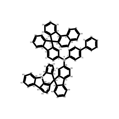 c1ccc(-c2ccc(N(c3ccc4c(c3)C3(c5ccccc5-4)c4ccccc4-c4c3ccc3ccccc43)c3ccc4c(c3)C3(c5ccccc5-4)c4ccccc4-n4c5ccccc5c5cccc3c54)cc2)cc1